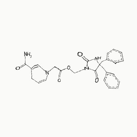 NC(=O)C1=CN(CC(=O)OCN2C(=O)NC(c3ccccc3)(c3ccccc3)C2=O)C=CC1